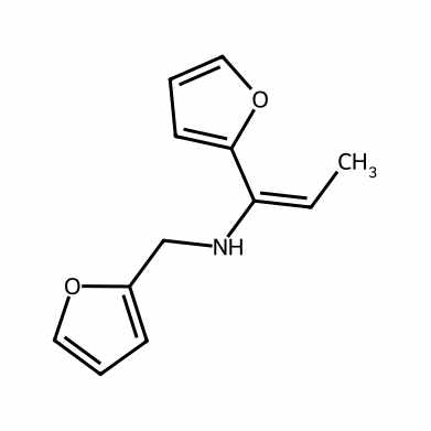 CC=C(NCc1ccco1)c1ccco1